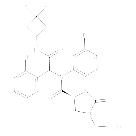 CCOC(=O)CN1C[C@@H](C(=O)N(c2cccc(F)c2)C(C(=O)NC2CC(F)(F)C2)c2ccccc2Cl)NC1=O